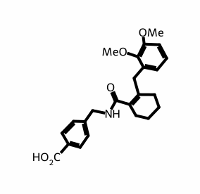 COc1cccc(CC2=C(C(=O)NCc3ccc(C(=O)O)cc3)CCCC2)c1OC